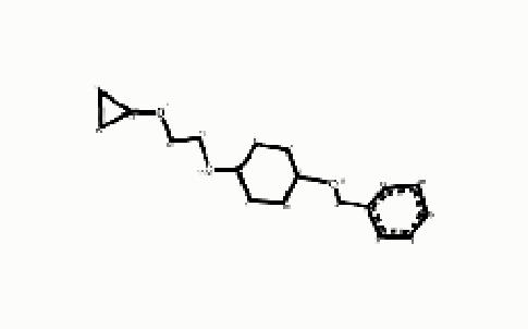 c1ccc(COC2CCC(OCCOC3CC3)CC2)cc1